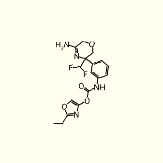 CCc1nc(OC(=O)Nc2cccc(C3(C(F)F)COCC(N)=N3)c2)co1